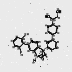 CC1(C)[C@H]2CC[C@]1(c1cncc(-c3cnc([C@@H](O)CO)nc3)n1)c1nnc(-c3c(F)cccc3F)cc12